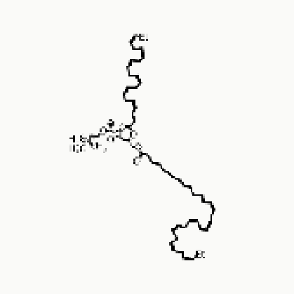 CC/C=C\C/C=C\C/C=C\C/C=C\C/C=C\C/C=C\CCCCCCCCCCCCC(=O)OC[C@H](COP(=O)([O-])OCC[N+](C)(C)C)OC(=O)CC/C=C\C/C=C\C/C=C\C/C=C\C/C=C\C/C=C\CC